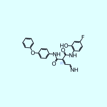 N=C/C=C(/C(=O)Nc1ccc(Oc2ccccc2)cc1)C(=O)Nc1ccc(F)cc1O